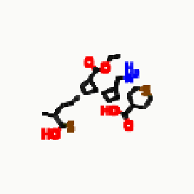 CCCC(C)C(O)=S.CCOC(=O)C1CCC1.NCC1CCC1.O=C(O)C1CCSCC1